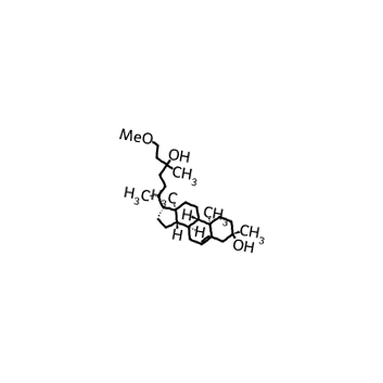 COCCC(C)(O)CC[C@@H](C)[C@H]1CC[C@H]2[C@@H]3CC=C4C[C@@](C)(O)CC[C@]4(C)[C@H]3CC[C@]12C